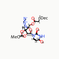 CCCCCCCCCCCC(=O)OC[C@@]1(N=[N+]=[N-])O[C@@H](n2ccc(=O)[nH]c2=O)C2O[C@@H](OC)O[C@@H]21